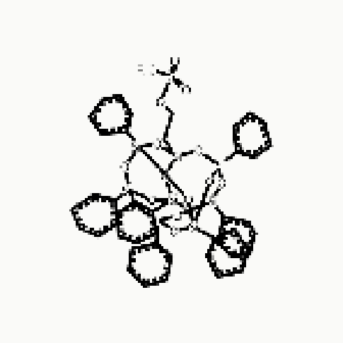 O=S(=O)(OCC[Si]12O[Si]3(c4ccccc4)O[Si]4(c5ccccc5)O[Si](c5ccccc5)(O1)O[Si]1(c5ccccc5)O[Si](c5ccccc5)(O2)O[Si](c2ccccc2)(O3)O[Si](c2ccccc2)(O4)O1)C(F)(F)F